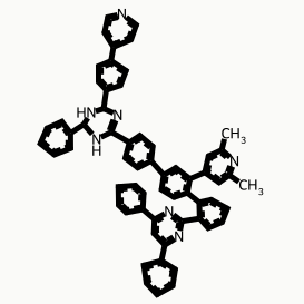 Cc1cc(-c2cc(-c3ccc(C4=NC(c5ccc(-c6ccncc6)cc5)NC(c5ccccc5)N4)cc3)ccc2-c2ccccc2-c2nc(-c3ccccc3)cc(-c3ccccc3)n2)cc(C)n1